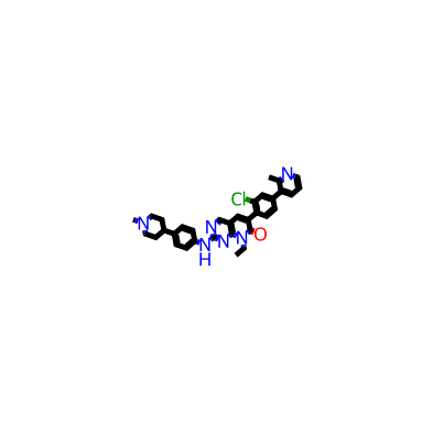 CCn1c(=O)c(-c2ccc(-c3cccnc3C)cc2Cl)cc2cnc(Nc3ccc(C4CCN(C)CC4)cc3)nc21